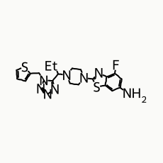 CCC(c1nnnn1Cc1cccs1)N1CCN(c2nc3c(F)cc(N)cc3s2)CC1